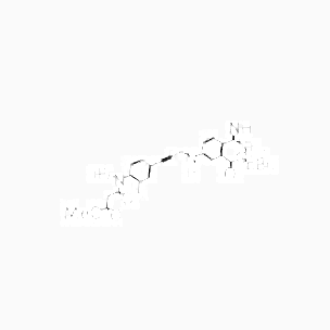 CCCCOC(=O)c1cc(NCC#Cc2ccc(N(C(=O)CC(=O)OC)C(C)C)c(C)c2)ccc1C(=N)N